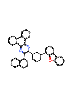 C1=CC(c2nc3c4ccccc4c4ccccc4c3nc2-c2cccc3ccccc23)CC(c2cccc3c2oc2ccccc23)=C1